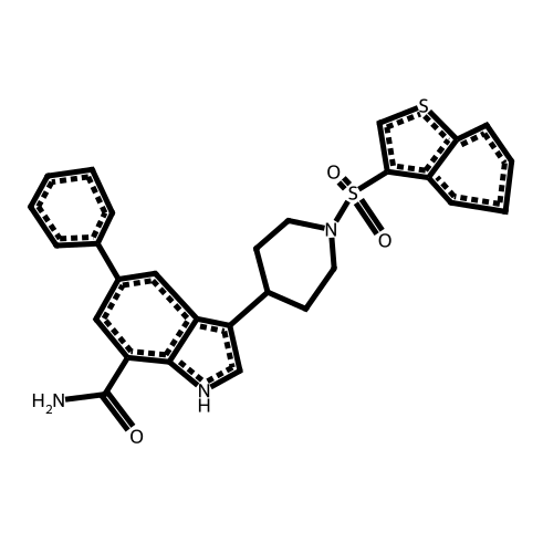 NC(=O)c1cc(-c2ccccc2)cc2c(C3CCN(S(=O)(=O)c4csc5ccccc45)CC3)c[nH]c12